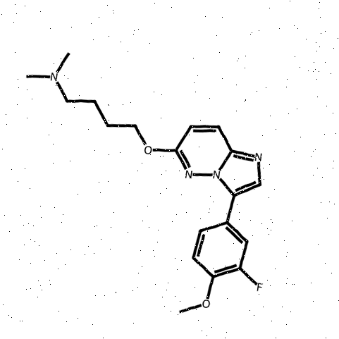 COc1ccc(-c2cnc3ccc(OCCCCN(C)C)nn23)cc1F